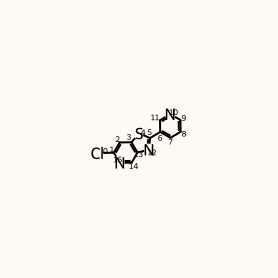 Clc1cc2sc(-c3cccnc3)nc2cn1